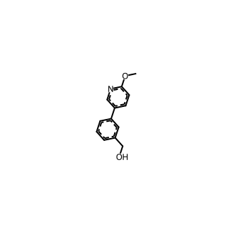 COc1ccc(-c2cccc(CO)c2)cn1